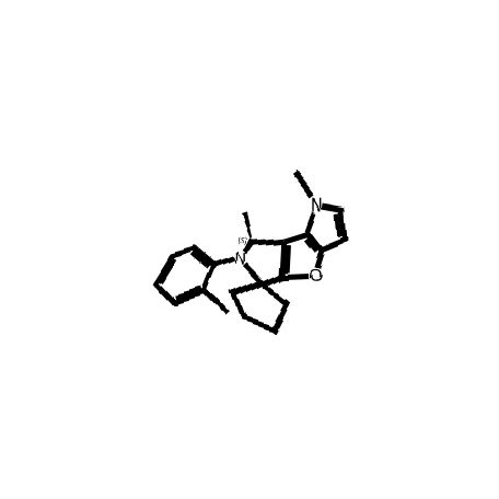 Cc1ccccc1N1[C@@H](C)c2c(oc3ccn(C)c23)C12CCCC2